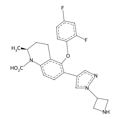 C[C@H]1CCc2c(ccc(-c3cnn(C4CNC4)c3)c2Oc2ccc(F)cc2F)N1C(=O)O